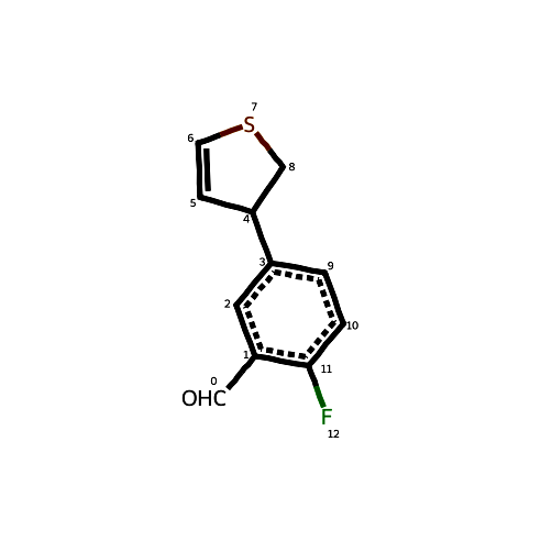 O=Cc1cc(C2C=CSC2)ccc1F